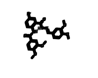 COc1ccc(/C=N/NC(=O)c2cc(Br)ccc2NC(=O)c2ccc(OC)c(OC)c2)cc1OC